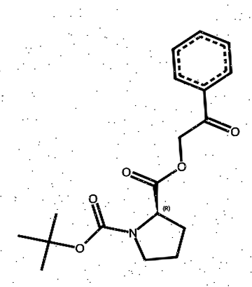 CC(C)(C)OC(=O)N1CCC[C@@H]1C(=O)OCC(=O)c1ccccc1